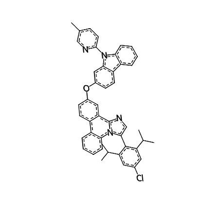 Cc1ccc(-n2c3ccccc3c3ccc(Oc4ccc5c6ccccc6n6c(-c7c(C(C)C)cc(Cl)cc7C(C)C)cnc6c5c4)cc32)nc1